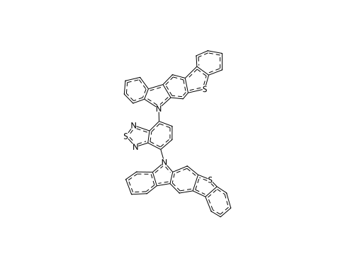 c1ccc2c(c1)sc1cc3c(cc12)c1ccccc1n3-c1ccc(-n2c3ccccc3c3cc4c(cc32)sc2ccccc24)c2nsnc12